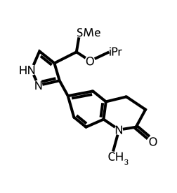 CSC(OC(C)C)c1c[nH]nc1-c1ccc2c(c1)CCC(=O)N2C